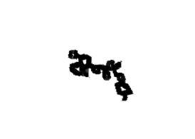 Cc1ccc(OCC(C)OC(=O)COc2ccc(Cl)c3cccnc23)cc1